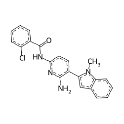 Cn1c(-c2ccc(NC(=O)c3ccccc3Cl)nc2N)cc2ccccc21